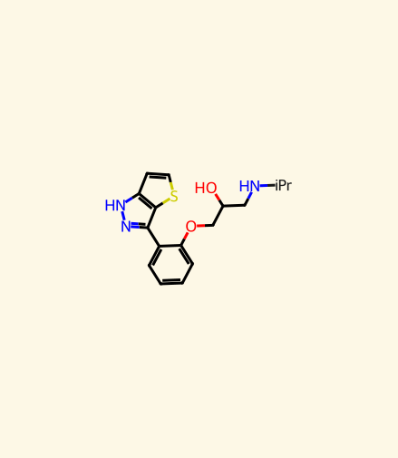 CC(C)NCC(O)COc1ccccc1-c1n[nH]c2ccsc12